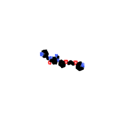 O=C(NCc1cccnc1)c1ccc2c(c1)ncn2-c1cccc(OCCCOc2cccnc2)c1